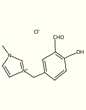 Cn1cc[n+](Cc2ccc(O)c(C=O)c2)c1.[Cl-]